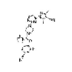 Cc1nn(-c2ccnc(N3CCN(C(=O)N4N=CC[C@H]4c4cc(F)cc(C#N)c4)CC3)n2)c(C)c1C#N